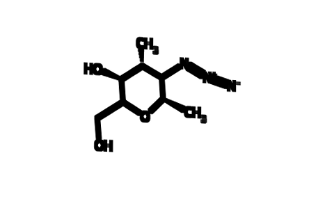 C[C@@H]1C(N=[N+]=[N-])[C@@H](C)OC(CO)[C@H]1O